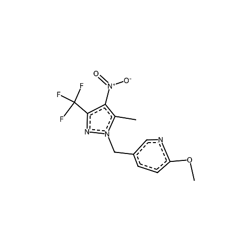 COc1ccc(Cn2nc(C(F)(F)F)c([N+](=O)[O-])c2C)cn1